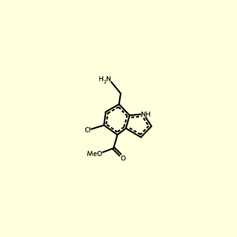 COC(=O)c1c(Cl)cc(CN)c2[nH]ccc12